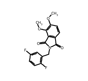 COc1ccc2c(c1OC)C(=O)N(Cc1cc(F)ccc1F)C2=O